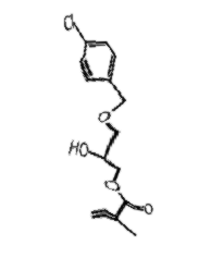 C=C(C)C(=O)OCC(O)COCc1ccc(Cl)cc1